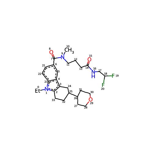 CCn1c2c(c3cc(C(=O)N(C)CCCC(=O)NCC(F)F)ccc31)CC(C1CCOCC1)CC2